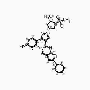 C[C@H]1C[C@@H](n2cc(-c3ncc4cc(-c5ccccc5)oc4n3)c(-c3ccc(F)cc3)n2)CN1S(C)(=O)=O